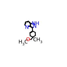 COCC1(C)CC=C(c2n[nH]c3cccnc23)CC1